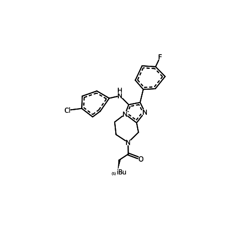 CC[C@H](C)CC(=O)N1CCn2c(nc(-c3ccc(F)cc3)c2Nc2ccc(Cl)cc2)C1